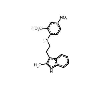 Cc1[nH]c2ccccc2c1CCNc1ccc([N+](=O)[O-])cc1C(=O)O